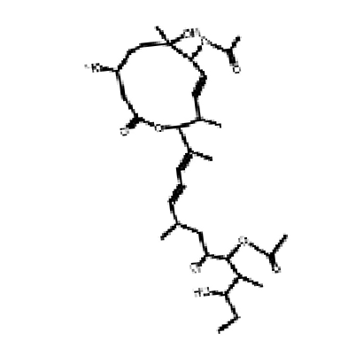 CCC(O)C(C)C(OC(C)=O)C(Cl)CC(C)/C=C/C=C(\C)C1OC(=O)CC(O)CCC(C)(O)C(OC(C)=O)/C=C/C1C